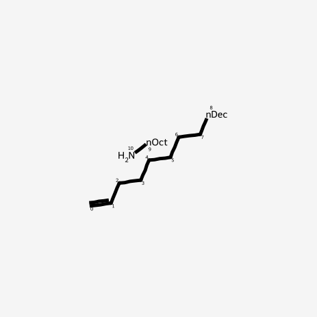 C=CCCCCCCCCCCCCCCCC.CCCCCCCCN